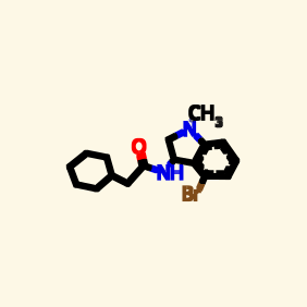 CN1CC(NC(=O)CC2CCCCC2)c2c(Br)cccc21